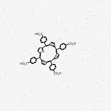 O=C(O)c1ccc(C2=C3C=CC(=N3)C(c3ccc(C(=O)O)cc3)=C3C=CC(=N3)C(c3ccc(C(=O)O)cc3)=C3C=CC(=N3)C(c3ccc(C(=O)O)cc3)=C3C=CC2=N3)cc1